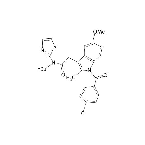 CCCCN(C(=O)Cc1c(C)n(C(=O)c2ccc(Cl)cc2)c2ccc(OC)cc12)c1nccs1